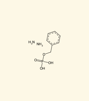 N.N.O=P(O)(O)OCc1ccccc1